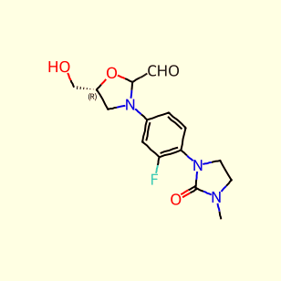 CN1CCN(c2ccc(N3C[C@H](CO)OC3C=O)cc2F)C1=O